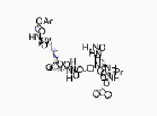 CC(=O)O[C@@H](C)/C=C\C(=O)N[C@@H]1C[C@H](C)[C@H](C/C=C(C)/C=C/[C@@H]2C[C@]3(CO3)C[C@@H](CC(=O)NNC(=O)OCc3ccc(NC(=O)[C@H](CCCNC(N)=O)NC(=O)[C@@H](NC(=O)OCC4c5ccccc5-c5ccccc54)C(C)C)cc3)O2)O[C@@H]1C